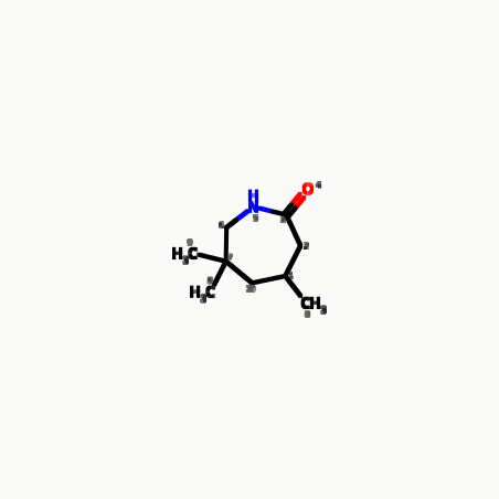 CC1CC(=O)NCC(C)(C)C1